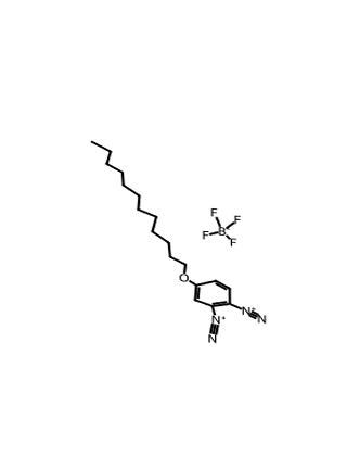 CCCCCCCCCCCCOc1ccc([N+]#N)c([N+]#N)c1.F[B-](F)(F)F